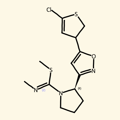 C/N=C(\SC)N1CCC[C@@H]1c1cc(C2C=C(Cl)SC2)on1